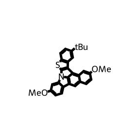 COc1ccc2cc3c4ccc(OC)cc4n4c5sc6ccc(C(C)(C)C)cc6c5c(c2c1)c34